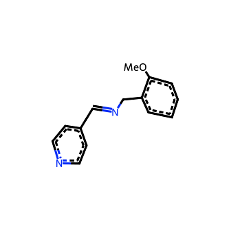 COc1ccccc1CN=Cc1ccncc1